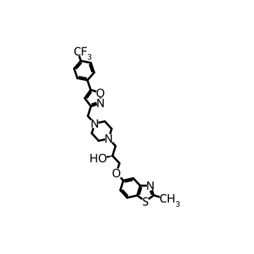 Cc1nc2cc(OC[C@@H](O)CN3CCN(Cc4cc(-c5ccc(C(F)(F)F)cc5)on4)CC3)ccc2s1